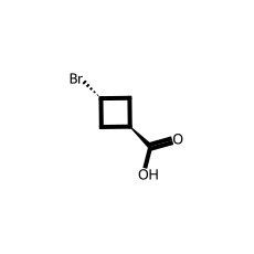 O=C(O)[C@H]1C[C@H](Br)C1